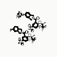 C[C@H](Oc1ccc(S(C)(=O)=O)cc1C(=O)N1Cc2ccc(-n3cncn3)cc2C1)C(F)(F)F.C[C@H](Oc1ccc(S(C)(=O)=O)cc1C(=O)N1Cc2ccc(I)cc2C1)C(F)(F)F